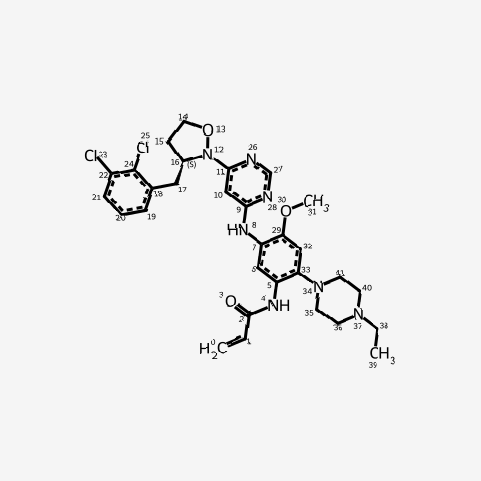 C=CC(=O)Nc1cc(Nc2cc(N3OCC[C@@H]3Cc3cccc(Cl)c3Cl)ncn2)c(OC)cc1N1CCN(CC)CC1